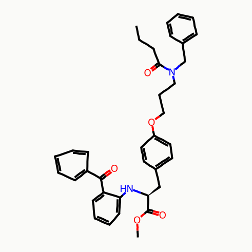 CCCC(=O)N(CCCOc1ccc(C[C@H](Nc2ccccc2C(=O)c2ccccc2)C(=O)OC)cc1)Cc1ccccc1